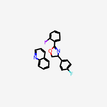 Fc1ccc(C2COC(c3ccccc3I)=N2)cc1.c1ccc2ncccc2c1